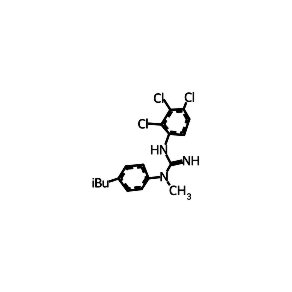 CCC(C)c1ccc(N(C)C(=N)Nc2ccc(Cl)c(Cl)c2Cl)cc1